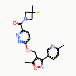 Cc1ccc(-c2noc(C)c2COc2ccc(C(=O)N3CC(C)(F)C3)nn2)cn1